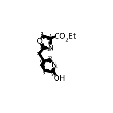 CCOC(=O)c1coc(Cc2ccc(O)nc2)n1